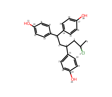 CC(Cl)CC(CC(c1ccc(O)cc1)c1ccc(O)cc1)c1ccc(O)cc1